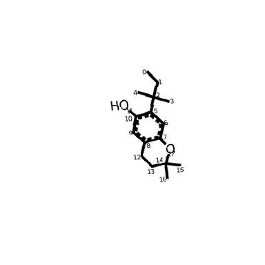 CCC(C)(C)c1cc2c(cc1O)CCC(C)(C)O2